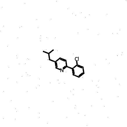 CC(C)[CH]c1ccc(-c2ccccc2Cl)nc1